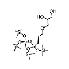 C[Si](C)(C)O[Si](C)(O[Si](C)(C)C)O[Si](CCCOCC(O)CO)(O[Si](C)(C)C)O[Si](C)(C)C